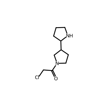 O=C(CCl)N1CCC(C2CCCN2)C1